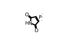 O=C1C=CC(=O)N1.[P]